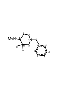 CNC1CCN(Cc2ccccc2)CC1(C)C